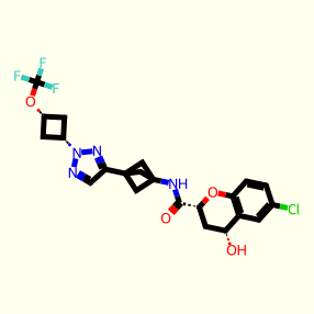 O=C(NC12CC(c3cnn([C@H]4C[C@@H](OC(F)(F)F)C4)n3)(C1)C2)[C@H]1C[C@@H](O)c2cc(Cl)ccc2O1